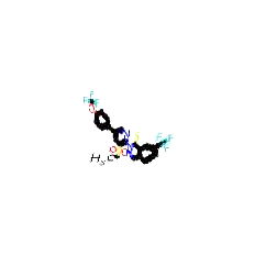 CCS(=O)(=O)c1cc(-c2ccc(OC(F)(F)F)cc2)cnc1-n1ncc2ccc(C(F)(F)F)cc2c1=S